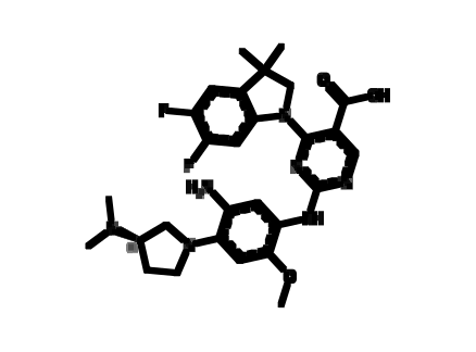 COc1cc(N2CC[C@@H](N(C)C)C2)c(N)cc1Nc1ncc(C(=O)O)c(N2CC(C)(C)c3cc(F)c(F)cc32)n1